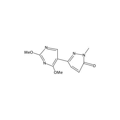 COc1ncc(-c2ccc(=O)n(C)n2)c(OC)n1